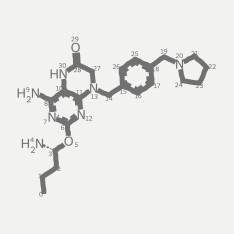 CCC[C@H](N)Oc1nc(N)c2c(n1)N(Cc1ccc(CN3CCCC3)cc1)CC(=O)N2